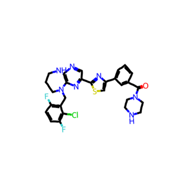 O=C(c1cccc(-c2csc(-c3cnc4c(n3)N(Cc3c(F)ccc(F)c3Cl)CCCN4)n2)c1)N1CCNCC1